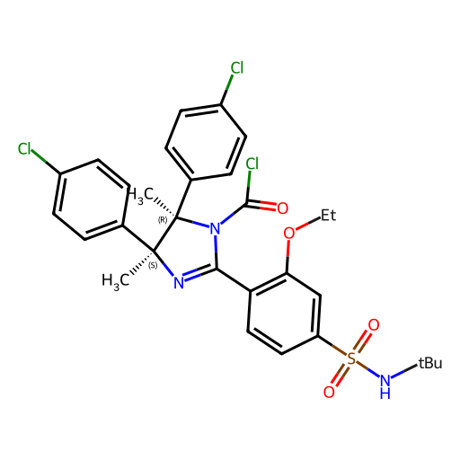 CCOc1cc(S(=O)(=O)NC(C)(C)C)ccc1C1=N[C@@](C)(c2ccc(Cl)cc2)[C@@](C)(c2ccc(Cl)cc2)N1C(=O)Cl